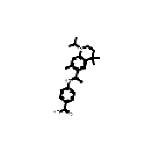 Cc1cc2c(cc1C(C)Nc1ccc(C(=O)O)cc1)C(C)(C)CCN2C(C)C